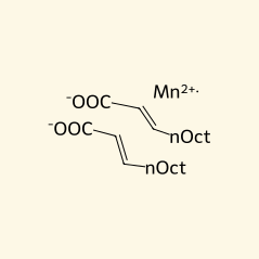 CCCCCCCCC=CC(=O)[O-].CCCCCCCCC=CC(=O)[O-].[Mn+2]